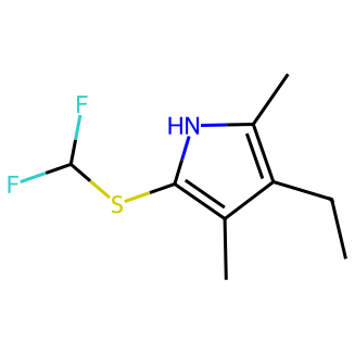 CCc1c(C)[nH]c(SC(F)F)c1C